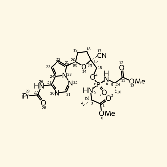 COC(=O)[C@H](C)NP(=O)(N[C@@H](C)C(=O)OC)OC[C@]1(C#N)CC[C@H](c2ccc3c(NC(=O)C(C)C)ncnn23)O1